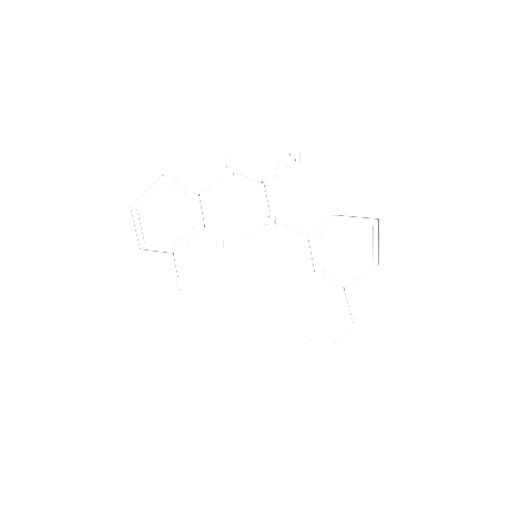 CCc1cccc(NC(=N)N(C)c2cccc(OC(F)(F)F)c2)c1